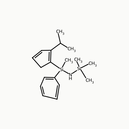 CC(C)C1=C([Si](C)(N[Si](C)(C)C)c2ccccc2)CC=C1